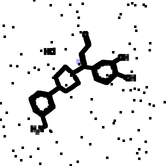 Cl.NCc1cccc(C2CCN(/C(=C/C=O)c3ccc(O)c(O)c3)CC2)c1